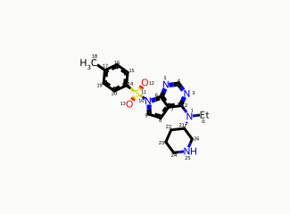 CCN(c1ncnc2c1ccn2S(=O)(=O)c1ccc(C)cc1)[C@H]1CCCNC1